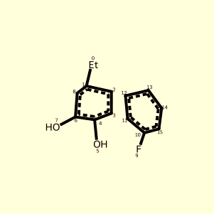 CCc1ccc(O)c(O)c1.Fc1ccccc1